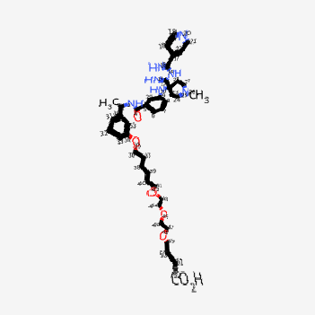 C[C@H](NC(=O)c1cccc(NC2(C(=N)NC(=N)c3ccncc3)CCN(C)CC2)c1)c1cccc(OCCCCCCOCCOCCOCCCC(=O)O)c1